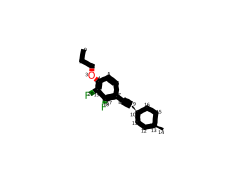 CCCOc1ccc(C#C[C@H]2CC[C@H](C)CC2)c(F)c1F